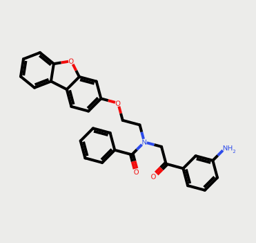 Nc1cccc(C(=O)CN(CCOc2ccc3c(c2)oc2ccccc23)C(=O)c2ccccc2)c1